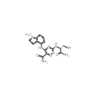 CC(C)C[C@@H](Nc1nnc(C(N)=O)c(Nc2cccc3c2ccn3C)n1)C(N)=O